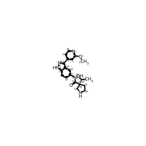 COc1cc(-c2n[nH]c3ccc(NC(=O)[C@]4(C(C)O)CCNC4)cc23)ccn1